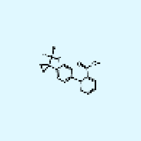 O=C(O)c1ccccc1-c1ccc(C2(C(F)(F)F)CC2)cc1